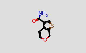 NC(=O)c1csc2c1C=COC2